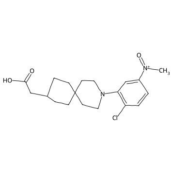 C[N+](=O)c1ccc(Cl)c(N2CCC3(CCC(CC(=O)O)CC3)CC2)c1